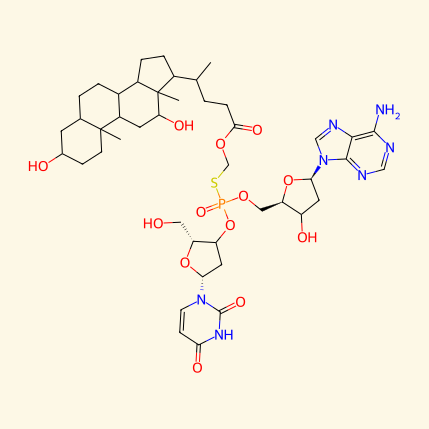 CC(CCC(=O)OCSP(=O)(OC[C@H]1O[C@@H](n2cnc3c(N)ncnc32)CC1O)OC1C[C@H](n2ccc(=O)[nH]c2=O)O[C@@H]1CO)C1CCC2C3CCC4CC(O)CCC4(C)C3CC(O)C12C